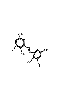 Cc1cc(Cl)c(O)c(N=Nc2cc(C)cc(Cl)c2O)c1